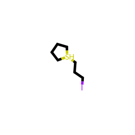 ICCC[SH]1CCCC1